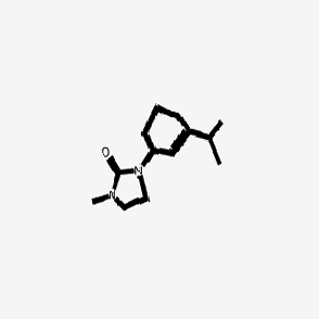 CC(C)C1=CC(N2CCN(C)C2=O)CCC1